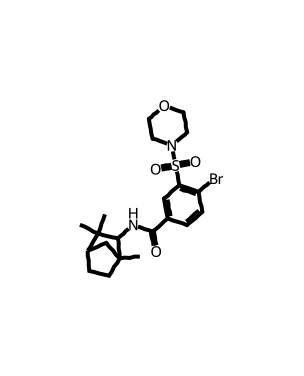 CC12CCC(C1)C(C)(C)C2NC(=O)c1ccc(Br)c(S(=O)(=O)N2CCOCC2)c1